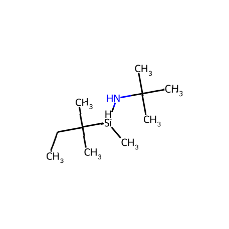 CCC(C)(C)[SiH](C)NC(C)(C)C